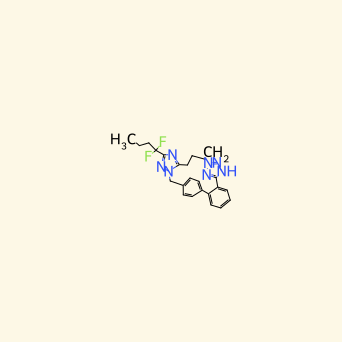 C=CCCc1nc(C(F)(F)CCC)nn1Cc1ccc(-c2ccccc2-c2nnn[nH]2)cc1